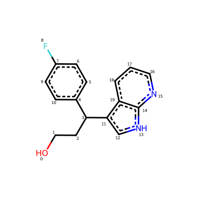 OCCC(c1ccc(F)cc1)c1c[nH]c2ncccc12